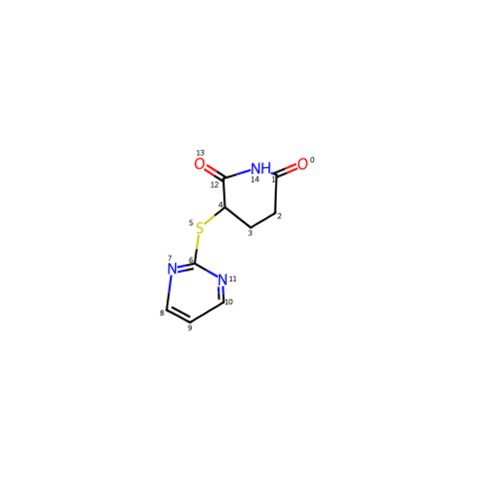 O=C1CCC(Sc2ncccn2)C(=O)N1